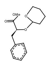 COC(=O)[C@H](Cc1ccccc1)OC1CCCCO1